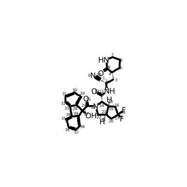 N#C[C@H](C[C@H]1CCCNC1=O)NC(=O)[C@@H]1[C@H]2CC(F)(F)C[C@H]2CN1C(=O)C1(O)c2ccccc2-c2ccccc21